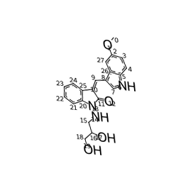 COc1ccc2[nH]cc(C=C3C(=O)N(NCC(O)CO)c4ccccc43)c2c1